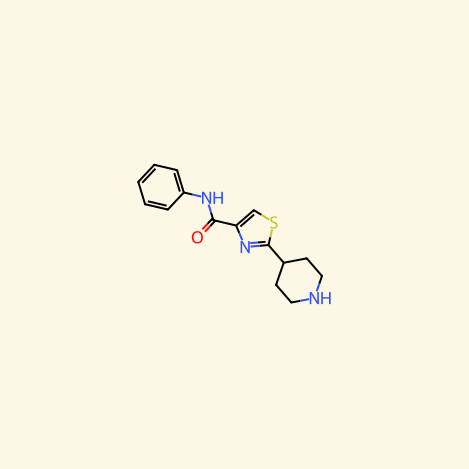 O=C(Nc1ccccc1)c1csc(C2CCNCC2)n1